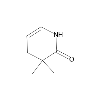 CC1(C)CC=CNC1=O